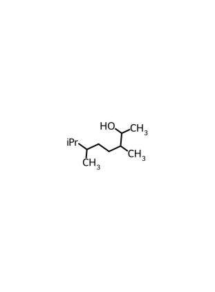 CC(C)C(C)CCC(C)C(C)O